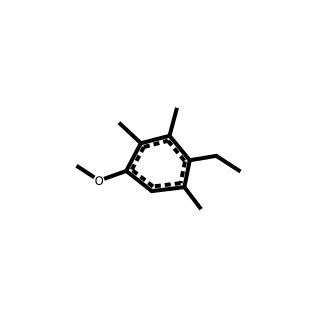 CCc1c(C)cc(OC)c(C)c1C